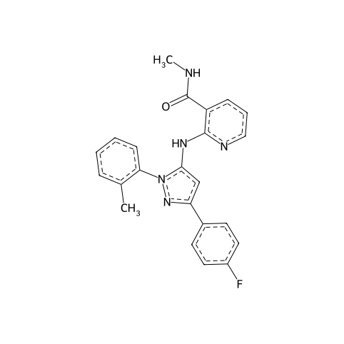 CNC(=O)c1cccnc1Nc1cc(-c2ccc(F)cc2)nn1-c1ccccc1C